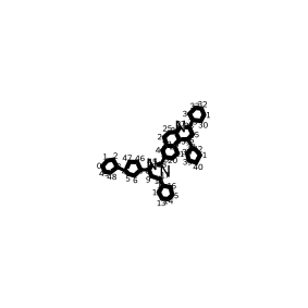 c1ccc(-c2ccc(-c3cc(-c4ccccc4)nc(-c4ccc5c(ccc6nc(-c7ccccc7)cc(-c7ccccc7)c65)c4)n3)cc2)cc1